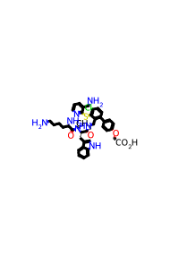 CN(C(=O)[C@@H](N)CCCCN)[C@@H](Cc1c[nH]c2ccccc12)C(=O)NCc1c(-c2ccc(OCC(=O)O)cc2)ccc(Cl)c1Sc1ncccc1CN